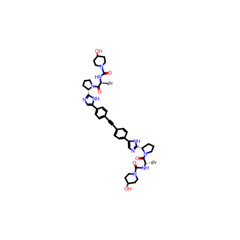 CC(C)[C@H](NC(=O)N1CCC(O)CC1)C(=O)N1CCC[C@H]1c1ncc(-c2ccc(C#Cc3ccc(-c4cnc([C@@H]5CCCN5C(=O)[C@@H](NC(=O)N5CCC(O)CC5)C(C)C)[nH]4)cc3)cc2)[nH]1